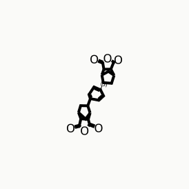 O=C1OC(=O)C2C3CC(CC3c3ccc([C@H]4CC5CC4C4C(=O)OC(=O)C54)cc3)C12